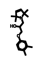 Cc1ccc(OCC(O)CN2C(C)(C)C=CC2(C)C)cc1C